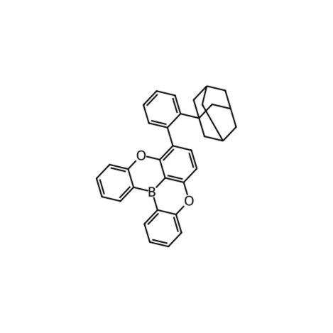 c1ccc2c(c1)Oc1ccc(-c3ccccc3C34CC5CC(CC(C5)C3)C4)c3c1B2c1ccccc1O3